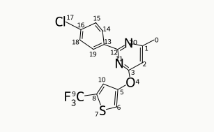 Cc1cc(Oc2csc(C(F)(F)F)c2)nc(-c2ccc(Cl)cc2)n1